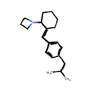 CC(C)Cc1ccc(C=C2CCCCC2N2CCC2)cc1